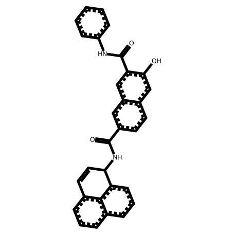 O=C(NC1C=Cc2cccc3cccc1c23)c1ccc2cc(O)c(C(=O)Nc3ccccc3)cc2c1